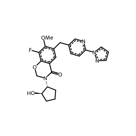 COc1c(Cc2ccc(-n3cccn3)nc2)cc2c(c1F)OCN([C@@H]1CCC[C@H]1O)C2=O